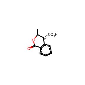 CC1OC(=O)c2ccccc2[C@H]1C(=O)O